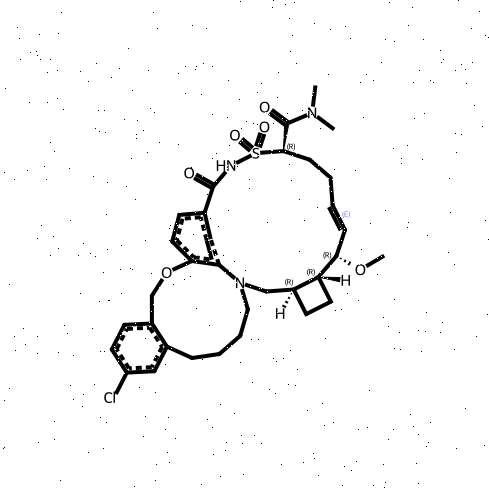 CO[C@H]1/C=C/CC[C@H](C(=O)N(C)C)S(=O)(=O)NC(=O)c2ccc3c(c2)N(CCCCc2cc(Cl)ccc2CO3)C[C@@H]2CC[C@H]21